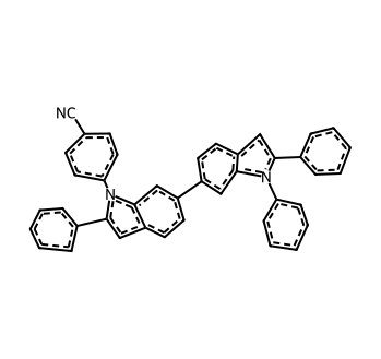 N#Cc1ccc(-n2c(-c3ccccc3)cc3ccc(-c4ccc5cc(-c6ccccc6)n(-c6ccccc6)c5c4)cc32)cc1